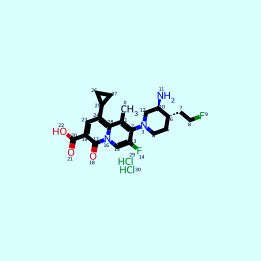 Cc1c(N2CC[C@@H](CCF)[C@H](N)C2)c(F)cn2c(=O)c(C(=O)O)cc(C3CC3)c12.Cl.Cl